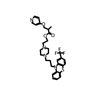 CC(COc1ccncc1)C(=O)OCCN1CCN(CCCN2c3ccccc3Sc3ccc(C(F)(F)F)cc32)CC1